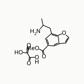 COC(=O)c1cc(CC(C)N)c2occc2c1.O=C(O)C(=O)O